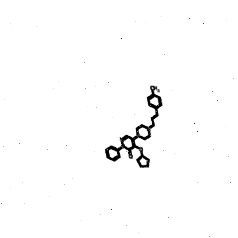 Cc1ccc(CCCN2CCN(c3cnn(-c4ccccc4)c(=O)c3OC3CCCC3)CC2)cc1